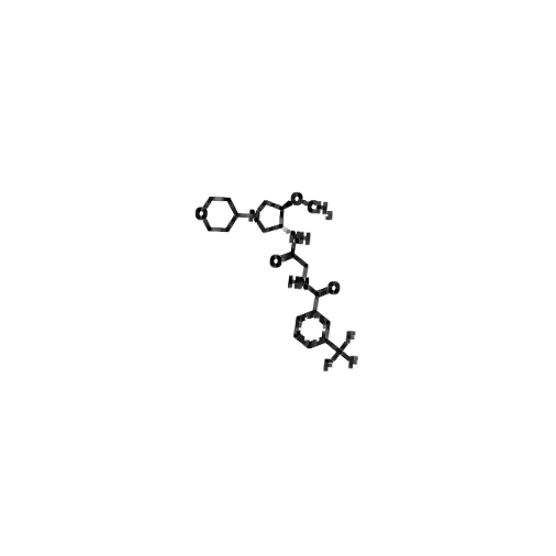 CO[C@@H]1CN(C2CCOCC2)C[C@H]1NC(=O)CNC(=O)c1cccc(C(F)(F)F)c1